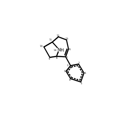 C1=C(c2ccccc2)C2CCC(CC1)N2